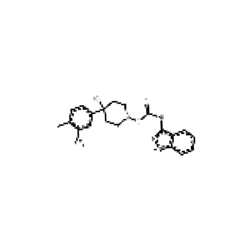 Cc1ccc(C2(O)CCN(OC(=O)Nc3n[nH]c4ccccc34)CC2)cc1C(F)(F)F